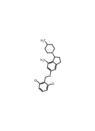 Cc1cc(OCc2c(Cl)cccc2Cl)cc2c1C(N1CCC(C)CC1)CC2